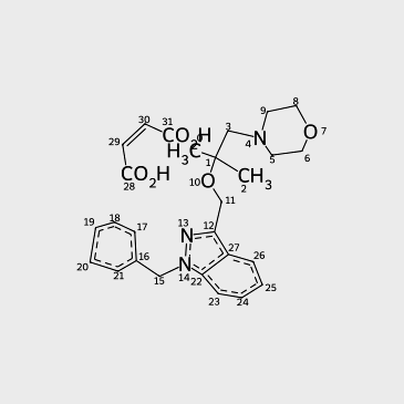 CC(C)(CN1CCOCC1)OCc1nn(Cc2ccccc2)c2ccccc12.O=C(O)/C=C\C(=O)O